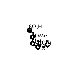 COc1nc(-c2cccc(-c3cccc(NC(=O)c4ccnn(C)c4=O)c3Cl)c2Cl)ccc1CN1CC2(C(=O)O)CCC1CC2